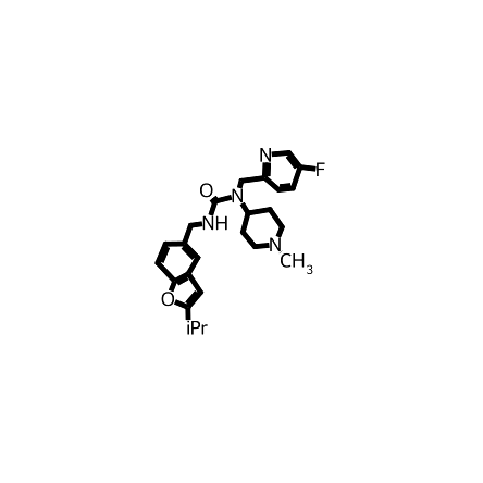 CC(C)c1cc2cc(CNC(=O)N(Cc3ccc(F)cn3)C3CCN(C)CC3)ccc2o1